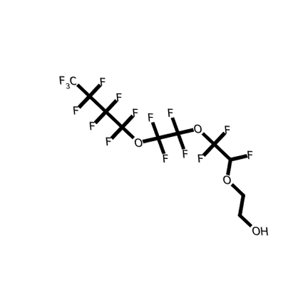 OCCOC(F)C(F)(F)OC(F)(F)C(F)(F)OC(F)(F)C(F)(F)C(F)(F)C(F)(F)F